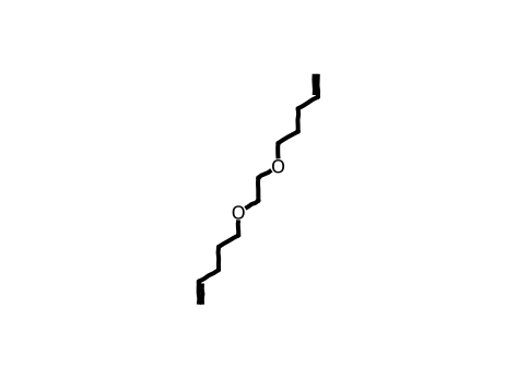 C=CCCCOCCOCCCC=C